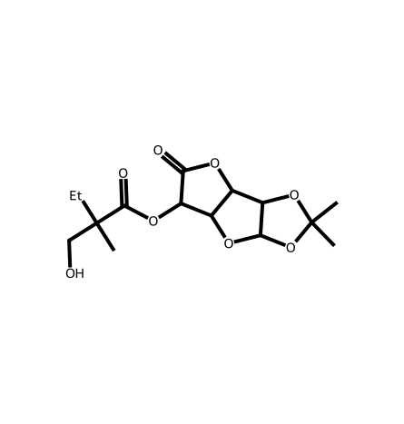 CCC(C)(CO)C(=O)OC1C(=O)OC2C3OC(C)(C)OC3OC12